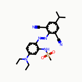 CCN(CC)c1ccc(/N=N/c2c(C#N)cc(C(C)C)cc2C#N)c(NS(C)(=O)=O)c1